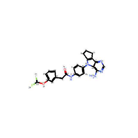 Nc1ncnc2c3c(n(-c4ccc(NC(=O)Cc5cccc(OC(F)F)c5)cc4)c12)CCC3